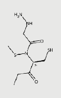 CCC(=O)[C@H](CS)N(SC)C(=O)CNN